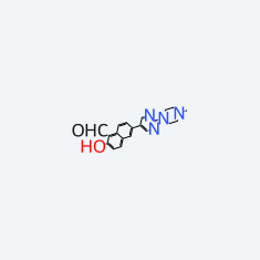 CN1CCN(c2ncc(-c3ccc4c(C=O)c(O)ccc4c3)cn2)CC1